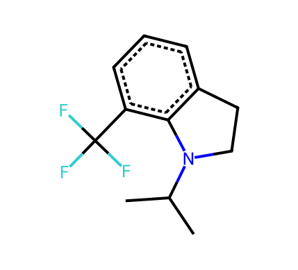 CC(C)N1CCc2cccc(C(F)(F)F)c21